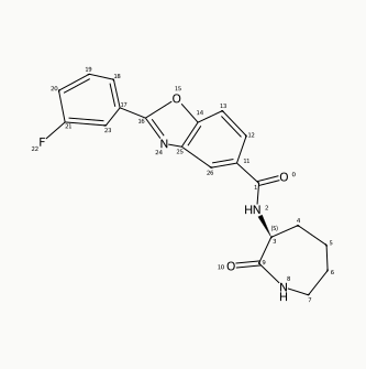 O=C(N[C@H]1CCCCNC1=O)c1ccc2oc(-c3cccc(F)c3)nc2c1